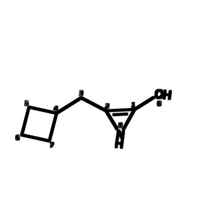 OC1=C(CC2CCC2)N1